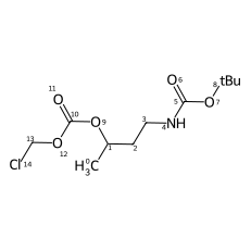 CC(CCNC(=O)OC(C)(C)C)OC(=O)OCCl